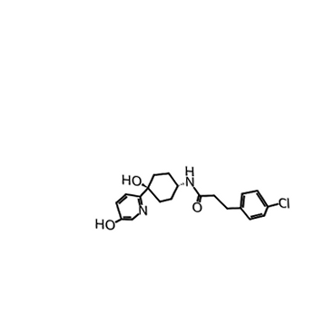 O=C(CCc1ccc(Cl)cc1)N[C@H]1CC[C@@](O)(c2ccc(O)cn2)CC1